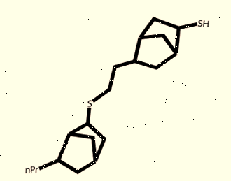 CCCC1CC2CC(SCCC3CC4CC3CC4S)C1C2